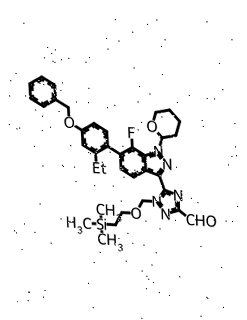 CCc1cc(OCc2ccccc2)ccc1-c1ccc2c(-c3nc(C=O)nn3COCC[Si](C)(C)C)nn(C3CCCCO3)c2c1F